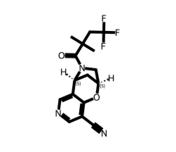 CC(C)(CC(F)(F)F)C(=O)N1C[C@@H]2C[C@H]1c1cncc(C#N)c1O2